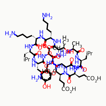 CC(C)C[C@H](NC(=O)[C@H](C)N)C(=O)N[C@@H](CCC(=O)O)C(=O)N[C@@H](CCC(=O)O)C(=O)N[C@@H](Cc1ccc(O)cc1)C(=O)N[C@H](C(=O)N[C@@H](CCCCN)C(=O)N[C@@H](CCCCN)C(=O)N[C@@H](CC(C)C)C(=O)N[C@@H](CC(N)=O)C(=O)N[C@H](C(=O)N[C@@H](CCC(N)=O)C(=O)O)[C@@H](C)O)[C@@H](C)O